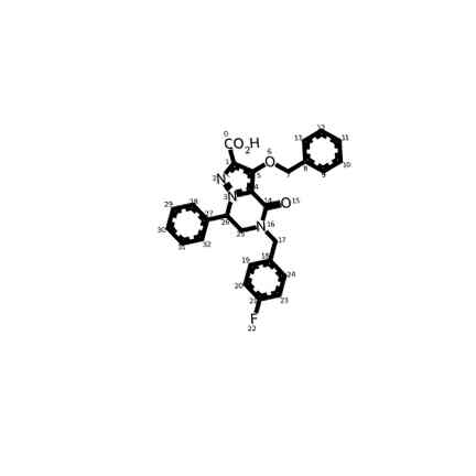 O=C(O)c1nn2c(c1OCc1ccccc1)C(=O)N(Cc1ccc(F)cc1)CC2c1ccccc1